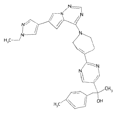 CCn1cc(-c2cc3c(N4CC=C(c5ncc(C(C)(O)c6ccc(C)cc6)cn5)CC4)ncnn3c2)cn1